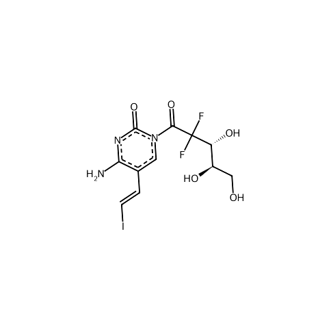 Nc1nc(=O)n(C(=O)C(F)(F)[C@H](O)[C@H](O)CO)cc1C=CI